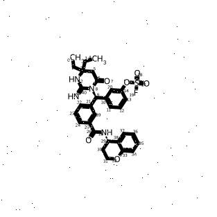 CCC1(CC)CC(=O)N([C@@H](c2cccc(OS(=O)(=O)F)c2)c2cccc(C(=O)N[C@H]3CCOc4ccccc43)c2)C(=N)N1